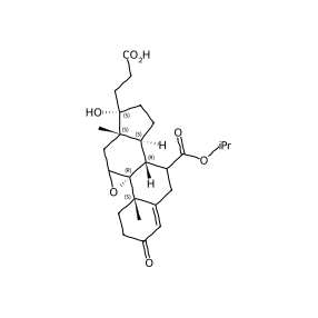 CC(C)OC(=O)C1CC2=CC(=O)CC[C@]2(C)[C@@]23OC2C[C@@]2(C)[C@@H](CC[C@]2(O)CCC(=O)O)[C@H]13